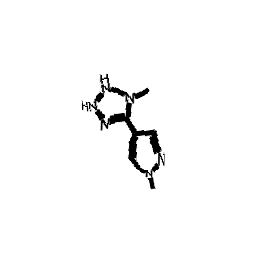 CN1NNN=C1c1cnn(C)c1